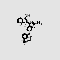 Cc1nc2c(c(/C(=C/C=N)NC3CCCCO3)n1)CCN(C(=O)c1cccc(C(F)(F)F)c1Cl)C2